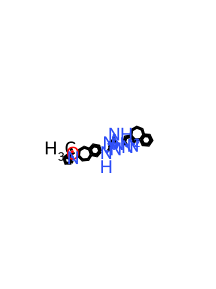 COC1C2CC1N([C@H]1CCc3ccc(Nc4nc(N)n(-c5cc6c(nn5)-c5ccccc5CCC6)n4)cc3CC1)C2